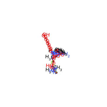 Cc1cc(N(C)c2nc(C(=O)O)c(CCCOc3ccc(C#CCN(C)C(=O)OCc4ccc(NC(=O)[C@H](CCCNC(N)=O)NC(=O)[C@@H](NC(=O)OC(C)(C)C)C(C)C)cc4COCc4cn(CCOCCOCCOCCOCCOCCOCCOCCOCCC(=O)O)nn4)cc3F)s2)nnc1Nc1nc2ccccc2s1